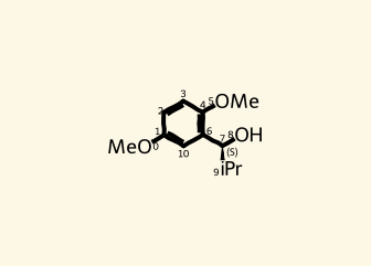 COc1ccc(OC)c([C@@H](O)C(C)C)c1